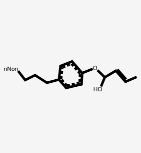 CC=CC(O)Oc1ccc(CCCCCCCCCCCC)cc1